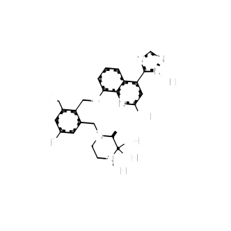 Cc1cc(-c2ncnn2C)c2cccc(OCc3c(Cl)cc(F)cc3CN3CCN(C)C(C)(C)C3=O)c2n1